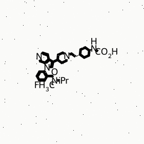 CC(C)N(C)C(=O)c1cc(F)ccc1-n1cc(C2CCN(CC[C@H]3CC[C@H](NC(=O)O)CC3)CC2)c2ccncc21